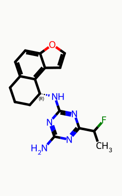 CC(F)c1nc(N)nc(N[C@@H]2CCCc3ccc4occc4c32)n1